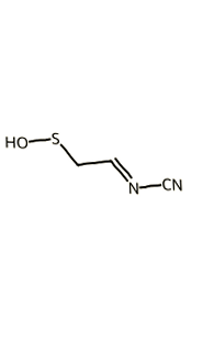 N#CN=CCSO